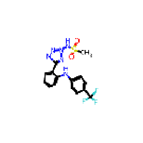 CS(=O)(=O)Nn1nnc(-c2ccccc2Nc2ccc(C(F)(F)F)cc2)n1